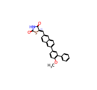 COc1ccc(-c2ccc3cc(/C=C4\SC(=O)NC4=O)ccc3c2)cc1-c1ccccc1